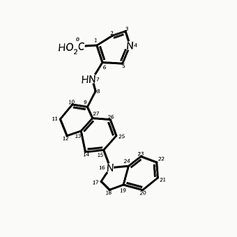 O=C(O)c1ccncc1NCC1=CCCc2cc(N3CCc4ccccc43)ccc21